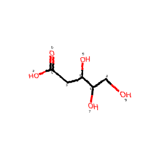 O=C(O)CC(O)C(O)[CH]O